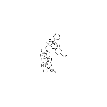 CC(C)C1CCC(O)(CC([C@@H](C)C2CC[C@H]3[C@@H]4CC[C@H]5C[C@](O)(C(F)(F)F)CC[C@]5(C)[C@H]4CC[C@]23C)S(=O)(=O)c2ccccc2)CC1